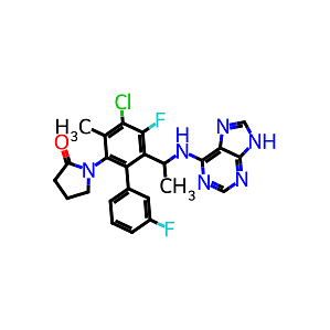 Cc1c(Cl)c(F)c(C(C)Nc2ncnc3[nH]cnc23)c(-c2cccc(F)c2)c1N1CCCC1=O